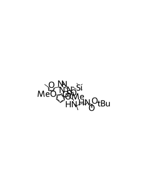 COc1cccc(OC)c1-n1c(-c2ccc(C)o2)nnc1N(CC[Si](C)(C)C)S(=O)(=O)CCN[C@H](C)CCNC(=O)OC(C)(C)C